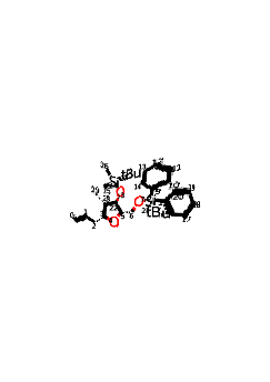 C=CC[C@H]1O[C@@H](CO[Si](c2ccccc2)(c2ccccc2)C(C)(C)C)[C@H](O[Si](C)(C)C(C)(C)C)[C@H]1C